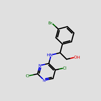 OCC(Nc1nc(Cl)ncc1Cl)c1cccc(Br)c1